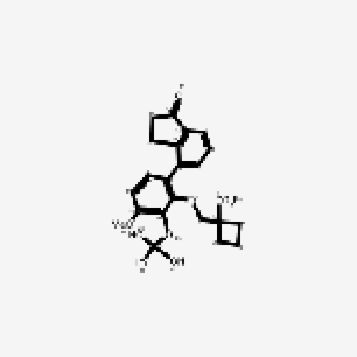 CCOC(=O)C1(COc2c(-c3cccc4c3CCC4=O)ccc(OC)c2OC(O)(O)O)CCC1